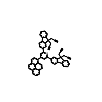 C#CCC1(CC#C)c2ccccc2-c2ccc(-c3cc(-c4ccc5ccc6cccc7ccc4c5c67)cc(-c4ccc5c(c4)C(CC#C)(CC#C)c4ccccc4-5)n3)cc21